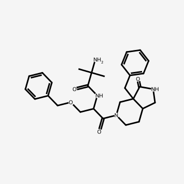 CC(C)(N)C(=O)NC(COCc1ccccc1)C(=O)N1CCC2CNC(=O)C2(Cc2ccccc2)C1